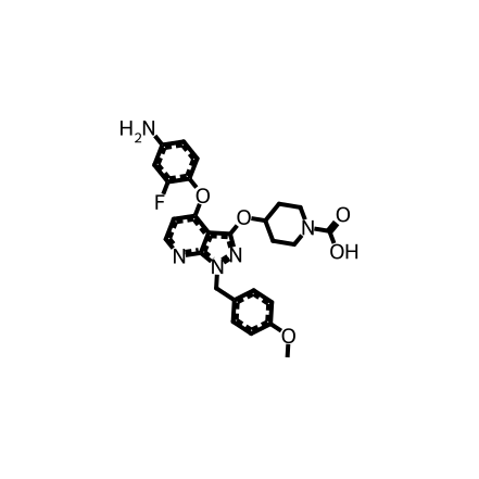 COc1ccc(Cn2nc(OC3CCN(C(=O)O)CC3)c3c(Oc4ccc(N)cc4F)ccnc32)cc1